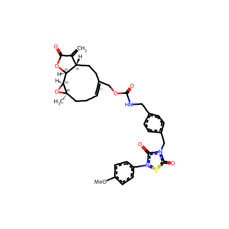 C=C1C(=O)O[C@H]2[C@H]1CC/C(COC(=O)NCc1ccc(Cn3c(=O)sn(-c4ccc(OC)cc4)c3=O)cc1)=C\CC[C@@]1(C)O[C@@H]21